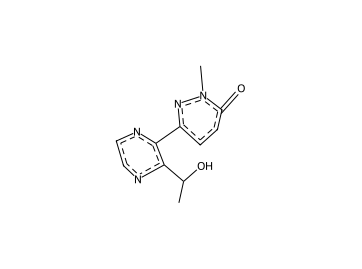 CC(O)c1nccnc1-c1ccc(=O)n(C)n1